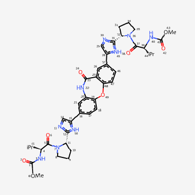 COC(=O)N[C@H](C(=O)N1CCC[C@H]1c1ncc(-c2ccc3c(c2)NC(=O)c2cc(-c4cnc([C@@H]5CCCN5C(=O)[C@@H](NC(=O)OC)C(C)C)[nH]4)ccc2O3)[nH]1)C(C)C